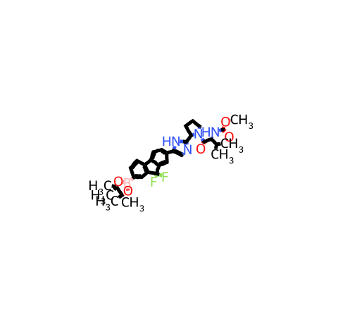 COC(=O)N[C@H](C(=O)N1CCCC1c1ncc(-c2ccc3c(c2)C(F)(F)c2cc(B4OC(C)(C)C(C)(C)O4)ccc2-3)[nH]1)C(C)C